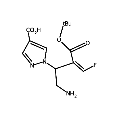 CC(C)(C)OC(=O)C(=CF)C(CN)n1cc(C(=O)O)cn1